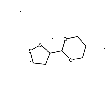 C1COC(C2CCSS2)OC1